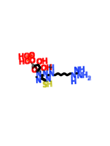 N=C(N)NCCCCCCNc1nc(S)c2ncn([C@@H]3O[C@H](COP(=O)(O)O)C(O)C3O)c2n1